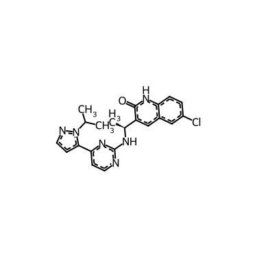 CC(C)n1nccc1-c1ccnc(N[C@@H](C)c2cc3cc(Cl)ccc3[nH]c2=O)n1